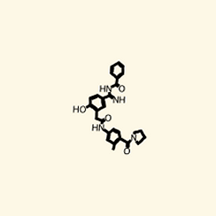 Cc1cc(NC(=O)Cc2cc(C(=N)NC(=O)c3ccccc3)ccc2O)ccc1C(=O)N1CCCC1